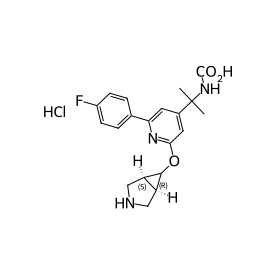 CC(C)(NC(=O)O)c1cc(OC2[C@H]3CNC[C@@H]23)nc(-c2ccc(F)cc2)c1.Cl